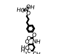 CC(C)CC(NC(=O)Oc1ccc(CCCON(O)O)cc1)C(=O)O